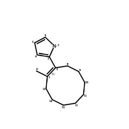 C/C1=C(\C2=CC=C[N]2)CCCCCCCC1